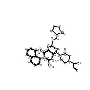 C=CC(=O)N1C[C@H](C)N(c2nc(OC[C@@H]3CCCN3C)nc3c(=O)n(-c4cccc5cccc(CC)c45)c(C(F)(F)F)nc23)[C@@H](C)C1